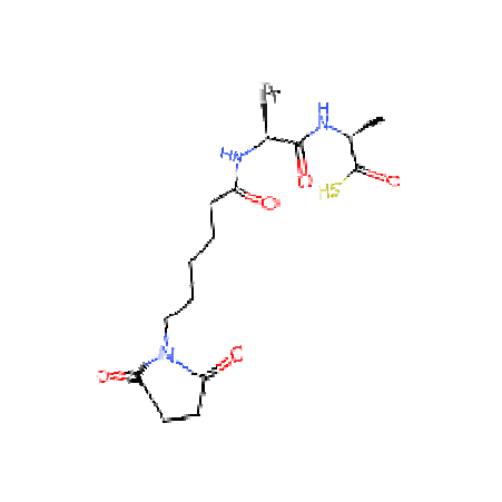 CC(C)[C@H](NC(=O)CCCCCN1C(=O)CCC1=O)C(=O)N[C@@H](C)C(=O)S